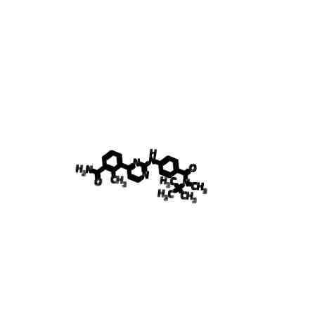 Cc1c(C(N)=O)cccc1-c1ccnc(Nc2ccc(C(=O)N(C)C(C)(C)C)cc2)n1